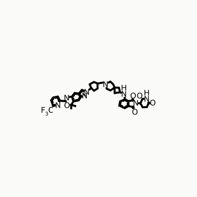 CC1(C)OC(c2cccc(C(F)(F)F)n2)=Nc2cc3cn(C4CCC(CN5CCC6(CC5)CC(Nc5cccc7c5C(=O)N(C5CCC(=O)NC5=O)C7=O)C6)CC4)nc3cc21